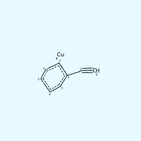 C#Cc1ccccc1.[Cu]